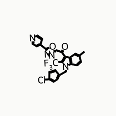 Cc1ccc2c(c1)c(C(=O)c1nnc(-c3ccncc3)o1)c(C(F)(F)F)n2Cc1ccc(Cl)cc1